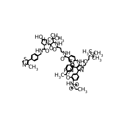 CCS(=O)(=O)Nc1ccc(-c2nn(COCC[Si](C)(C)C)c(Nc3ccc(C(=O)NCCC(=O)NC(C(=O)N4C[C@@H](O)C[C@@H]4C(=O)NCc4ccc(-c5scnc5C)cc4)C(C)(C)C)cn3)c2C(N)=O)cc1OC(C)c1ccc(F)cc1